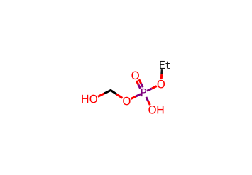 CCOP(=O)(O)OCO